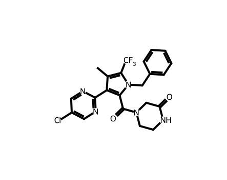 Cc1c(-c2ncc(Cl)cn2)c(C(=O)N2CCNC(=O)C2)n(Cc2ccccc2)c1C(F)(F)F